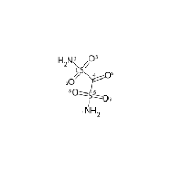 NS(=O)(=O)C(=O)S(N)(=O)=O